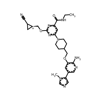 CCNC(=O)c1cc(N2CCC(COc3cc(-c4cncn4C)cnc3N)CC2)nc(OC[C@H]2CC2C#N)n1